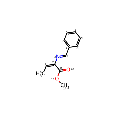 CC=C(N=Cc1ccccc1)C(=O)OC